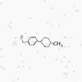 CC1CCC(c2ccc(CF)cc2)CC1